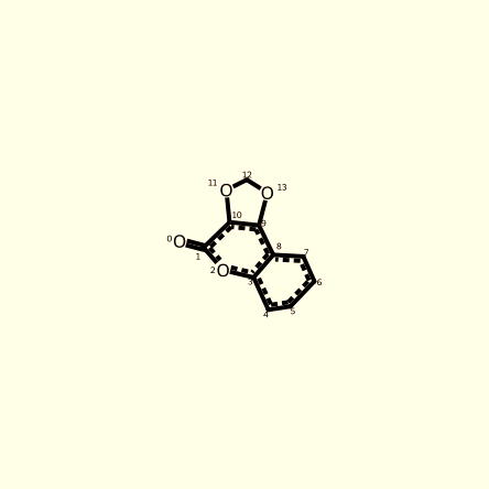 O=c1oc2ccccc2c2c1OCO2